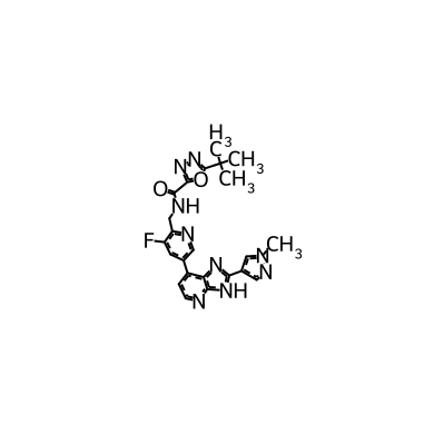 Cn1cc(-c2nc3c(-c4cnc(CNC(=O)c5nnc(C(C)(C)C)o5)c(F)c4)ccnc3[nH]2)cn1